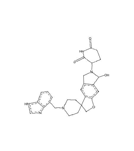 O=C1CCC(N2Cc3cc4c(cc3C2O)OCC42CCN(Cc3cccc4[nH]cnc34)CC2)C(=O)N1